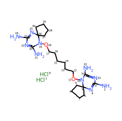 Cl.Cl.NC1=NC2(CCCC2)N(OCCCCCCON2C(N)=NC(N)=NC23CCCC3)C(N)=N1